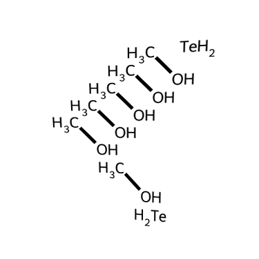 CO.CO.CO.CO.CO.CO.[TeH2].[TeH2]